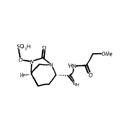 COCC(=O)NC(=N)[C@@H]1CC[C@@H]2CN1C(=O)N2OS(=O)(=O)O